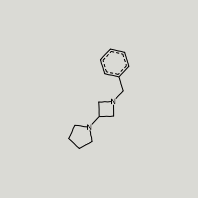 c1ccc(CN2CC(N3CCCC3)C2)cc1